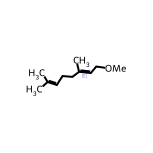 COC/C=C(\C)CCC=C(C)C